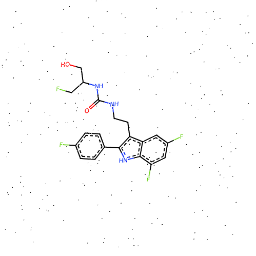 O=C(NCCc1c(-c2ccc(F)cc2)[nH]c2c(F)cc(F)cc12)NC(CO)CF